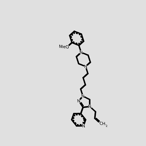 C=CCN1CN(CCCCN2CCN(c3ccccc3OC)CC2)N=C1c1cccnc1